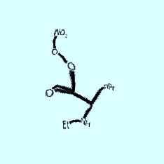 CCCC(NCC)C(=O)OO[N+](=O)[O-]